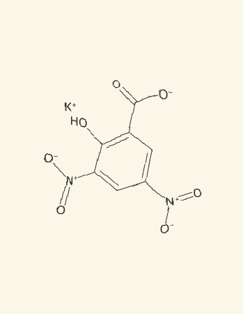 O=C([O-])c1cc([N+](=O)[O-])cc([N+](=O)[O-])c1O.[K+]